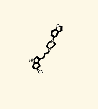 N#Cc1ccc2[nH]cc(CCCN3CCN(c4ccc5occc5c4)CC3)c2c1